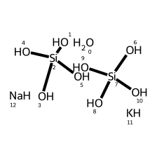 O.O[Si](O)(O)O.O[Si](O)(O)O.[KH].[NaH]